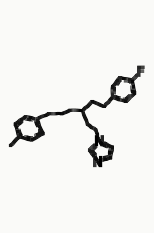 Cc1ccc(CCCC(CCc2ccc(F)cc2)CCn2ccnc2)cc1